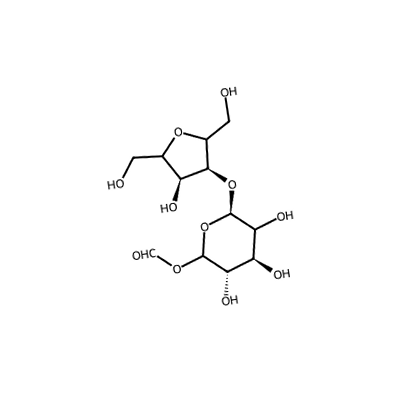 O=COC1O[C@@H](O[C@@H]2C(CO)OC(CO)[C@@H]2O)C(O)[C@@H](O)[C@@H]1O